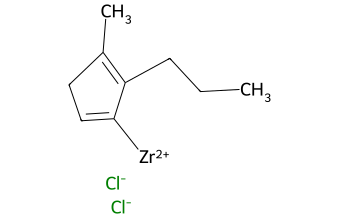 CCCC1=C(C)CC=[C]1[Zr+2].[Cl-].[Cl-]